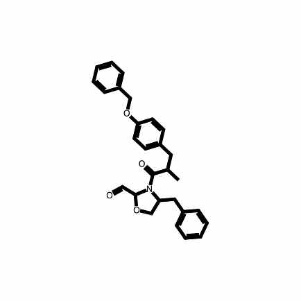 CC(Cc1ccc(OCc2ccccc2)cc1)C(=O)N1C(Cc2ccccc2)COC1C=O